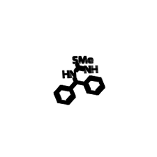 CSC(=N)NC(c1ccccc1)c1ccccc1